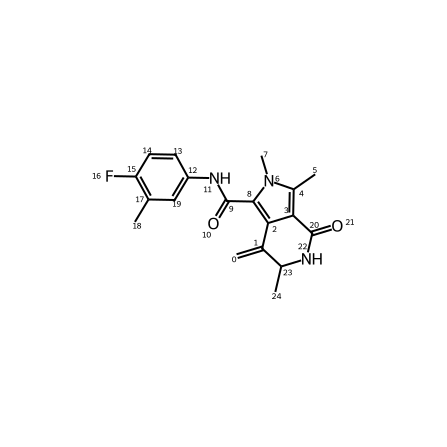 C=C1c2c(c(C)n(C)c2C(=O)Nc2ccc(F)c(C)c2)C(=O)NC1C